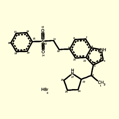 Br.CC(c1c[nH]c2ccc(CCS(=O)(=O)c3ccccc3)cc12)C1CCCN1